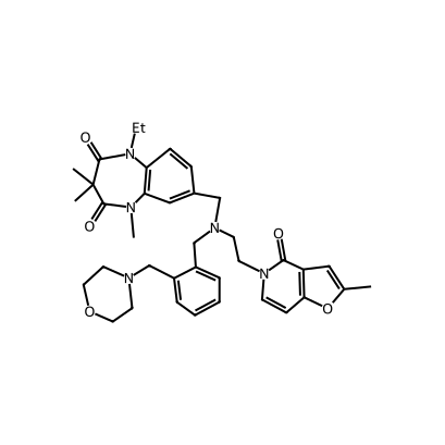 CCN1C(=O)C(C)(C)C(=O)N(C)c2cc(CN(CCn3ccc4oc(C)cc4c3=O)Cc3ccccc3CN3CCOCC3)ccc21